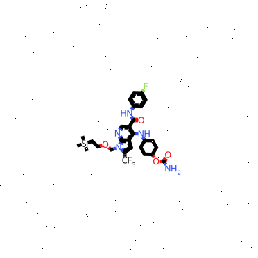 C[Si](C)(C)CCOCn1c(C(F)(F)F)cc2c(NC3CCC(OC(N)=O)CC3)c(C(=O)Nc3ccc(F)cc3)cnc21